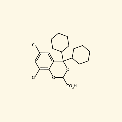 O=C(O)C1Oc2c(Cl)cc(Cl)cc2C(C2CCCCC2)(C2CCCCC2)O1